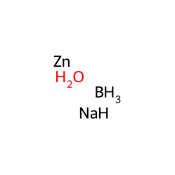 B.O.[NaH].[Zn]